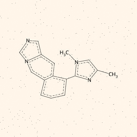 Cc1cn(C)c(-c2cccc3cn4cncc4cc23)n1